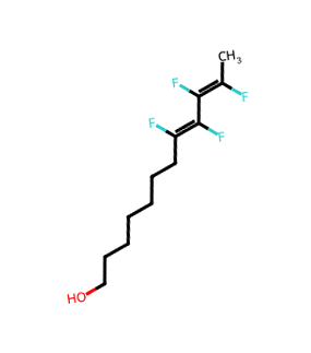 CC(F)=C(F)C(F)=C(F)CCCCCCCO